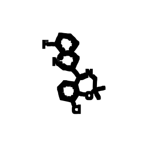 CC1(C)CN=C(c2cnc3c(F)cccc3c2)c2cccc(Cl)c2O1